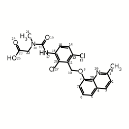 Cc1ccc2cccc(OCc3c(Cl)ccc(NC(=O)N(C)CC(=O)O)c3Cl)c2n1